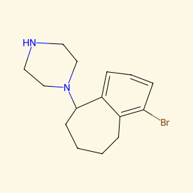 Brc1cccc2c1CCCCC2N1CCNCC1